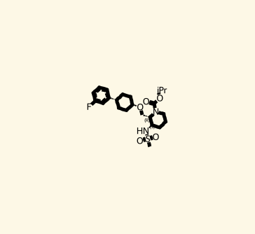 CC(C)OC(=O)N1CCC[C@H](NS(C)(=O)=O)[C@@H]1CO[C@H]1CC[C@@H](c2cccc(F)c2)CC1